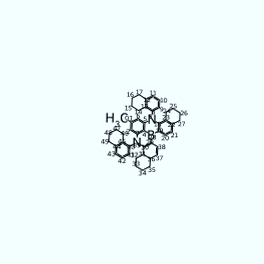 Cc1cc2c3c(c1)N(c1cccc4c1CCCC4)c1c(ccc4c1CCCC4)B3C1=C(C3CCCCC3C=C1)N2c1cccc2c1CCCC2